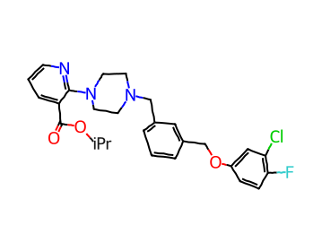 CC(C)OC(=O)c1cccnc1N1CCN(Cc2cccc(COc3ccc(F)c(Cl)c3)c2)CC1